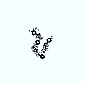 Cc1cc(-c2csc(Nc3ccc(S(=O)(=O)Nc4cc(OC(=O)c5ccccc5NC(=S)NC(=O)c5ccc(-c6ccc(Cl)cc6)o5)on4)cc3)n2)ccc1F